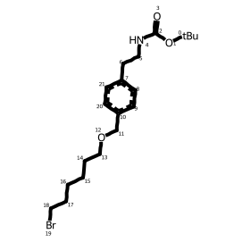 CC(C)(C)OC(=O)NCCc1ccc(COCCCCCCBr)cc1